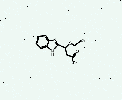 CC(C)CSC(CC(=O)C(C)C)c1nc2ccccc2[nH]1